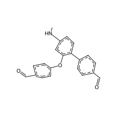 CNc1ccc(-c2ccc(C=O)cc2)c(Oc2ccc(C=O)cc2)c1